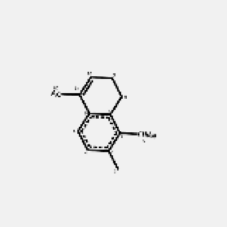 COc1c(C)ccc2c1CCC=C2C(C)=O